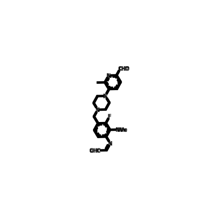 CNc1c(/N=C\C=O)ccc(CN2CCN(c3ccc(C=O)nc3C)CC2)c1F